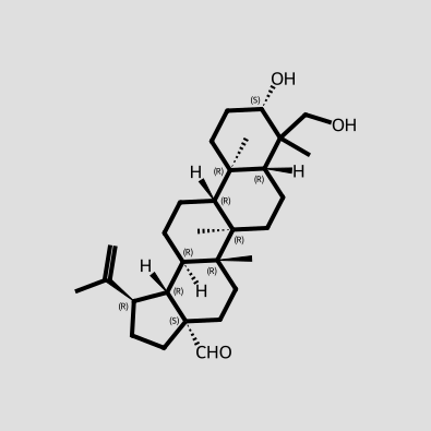 C=C(C)[C@@H]1CC[C@]2(C=O)CC[C@]3(C)[C@H](CC[C@@H]4[C@@]5(C)CC[C@H](O)C(C)(CO)[C@@H]5CC[C@]43C)[C@@H]12